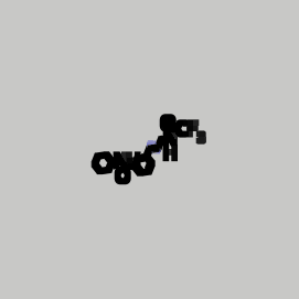 O=C(NC1CCCCC1)c1cccc(/C=C/CNC(=O)C(F)(F)F)c1